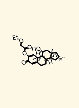 CCOCC(=O)OC1=C[C@@]2(C)C(=CC1=O)CC[C@@H]1[C@@H]2[C@@H](O)C[C@]2(C)C[C@H](C)C[C@@H]12